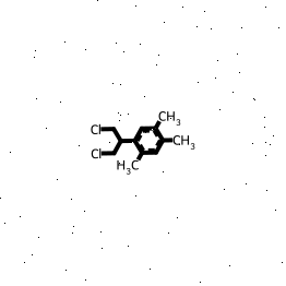 Cc1cc(C)c(C(CCl)CCl)cc1C